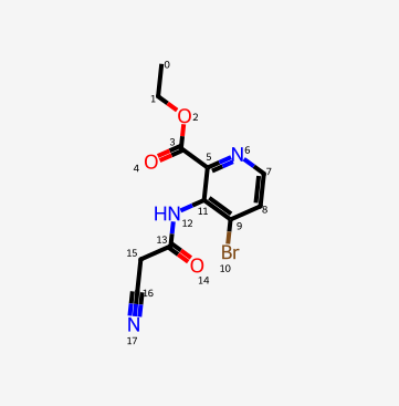 CCOC(=O)c1nccc(Br)c1NC(=O)CC#N